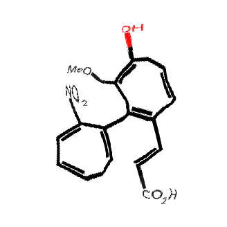 COc1c(O)ccc(C=CC(=O)O)c1-c1ccccc1[N+](=O)[O-]